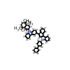 CC1(C)CCC(C)(C)c2cc(-n3c4ccccc4c4cc(-c5cc6c(c7ccccc57)c5ccccc5n6-c5ccc(-c6ccccc6)cc5)ccc43)ccc21